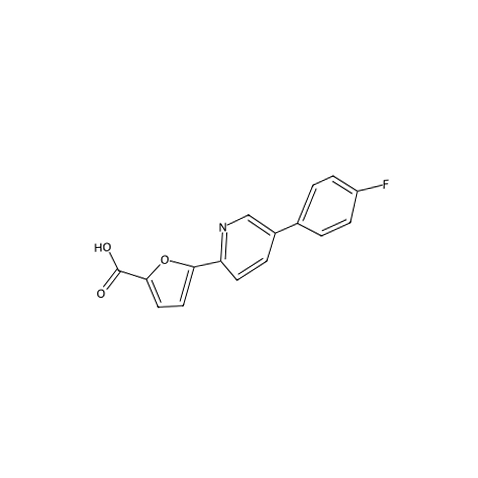 O=C(O)c1ccc(-c2ccc(-c3ccc(F)cc3)cn2)o1